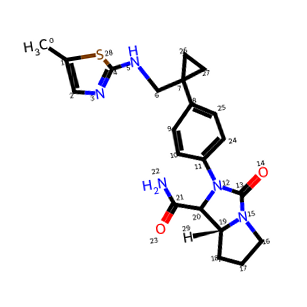 Cc1cnc(NCC2(c3ccc(N4C(=O)N5CC[CH][C@@H]5C4C(N)=O)cc3)CC2)s1